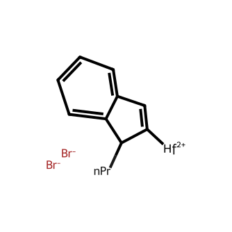 CCCC1[C]([Hf+2])=Cc2ccccc21.[Br-].[Br-]